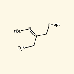 CCCCCCCCC(C[N+](=O)[O-])=NCCCC